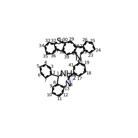 NC(c1ccccc1)c1ccccc1/N=C/c1cccc(-n2c3ccccc3c3cc4sc5ccccc5c4cc32)c1